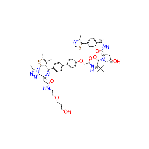 Cc1ncsc1-c1ccc([C@H](C)NC(=O)[C@@H]2C[C@@H](O)CN2C(=O)[C@@H](NC(=O)COc2ccc(-c3ccc(C4=N[C@@H](CC(=O)NCCOCCCO)c5nnc(C)n5-c5sc(C)c(C)c54)cc3)cc2)C(C)(C)C)cc1